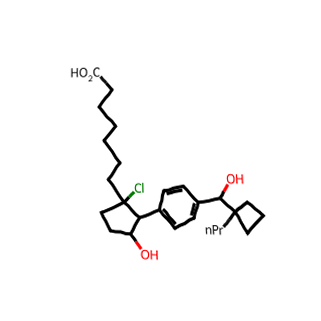 CCCC1(C(O)c2ccc(C3C(O)CCC3(Cl)CCCCCCC(=O)O)cc2)CCC1